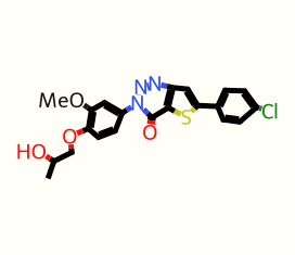 COc1cc(-n2nnc3cc(-c4ccc(Cl)cc4)sc3c2=O)ccc1OCC(C)O